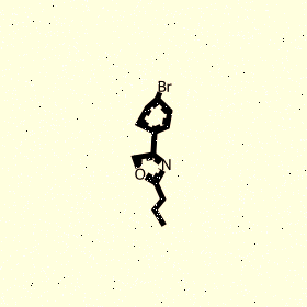 CCCc1nc(-c2ccc(Br)cc2)co1